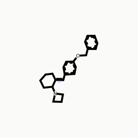 C(=C1/CCCCC1N1CCC1)/c1ccc(OCc2ccccc2)cc1